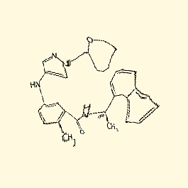 Cc1ccc(Nc2cnn(C3CCCCO3)c2)cc1C(=O)N[C@H](C)c1cccc2ccccc12